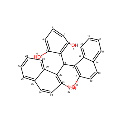 Oc1cccc(O)c1C(c1c(O)ccc2ccccc12)c1c(O)ccc2ccccc12